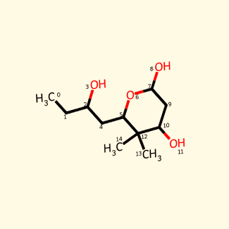 CCC(O)CC1OC(O)CC(O)C1(C)C